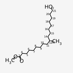 COC(=O)CCCCCCCC[C@H](C)CCCCCCCCO